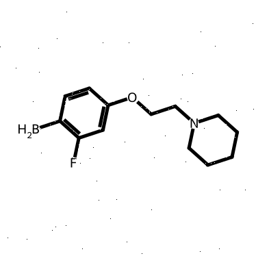 Bc1ccc(OCCN2CCCCC2)cc1F